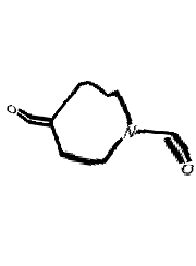 O=CN1CCC(=O)CC1